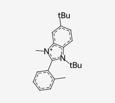 Cc1ccccc1-c1n(C(C)(C)C)c2ccc(C(C)(C)C)cc2[n+]1C